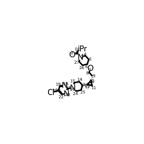 CC(C)C(=O)N1CCC(OCC[C@@H]2C[C@@H]2C2CCN(c3ncc(Cl)cn3)CC2)CC1